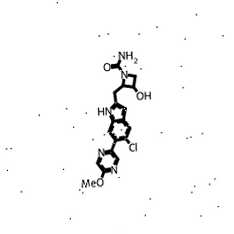 COc1cnc(-c2cc3[nH]c(CC4C(O)CN4C(N)=O)cc3cc2Cl)cn1